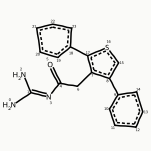 NC(N)=NC(=O)Cc1c(-c2ccccc2)csc1-c1ccccc1